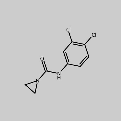 O=C(Nc1ccc(Cl)c(Cl)c1)N1CC1